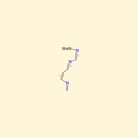 C=N\C=C/C=N/C=N\NC